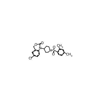 Cc1ccc(S(=O)(=O)N2CCC(N3C(=O)OCc4cc(Cl)ccc43)CC2)c(C)c1